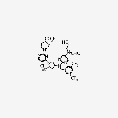 CCOC(=O)C1CCN(c2ncc(Cl)c(N3CC(N(Cc4cc(C(F)(F)F)cc(C(F)(F)F)c4)c4ncc(N(C=O)CCO)cn4)CC3CC)n2)CC1